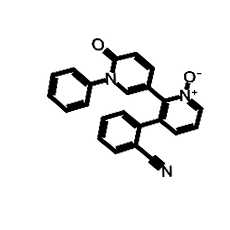 N#Cc1ccccc1-c1ccc[n+]([O-])c1-c1ccc(=O)n(-c2ccccc2)c1